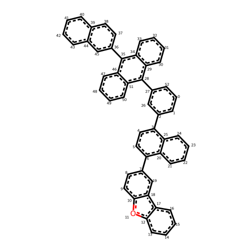 c1cc(-c2ccc(-c3ccc4oc5ccccc5c4c3)c3ccccc23)cc(-c2c3ccccc3c(-c3ccc4ccccc4c3)c3ccccc23)c1